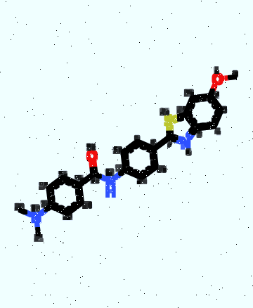 COc1ccc2nc(-c3ccc(NC(=O)c4ccc(N(C)C)cc4)cc3)sc2c1